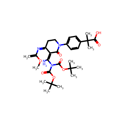 C=C(/N=C1/CCN(c2ccc(C(C)(C)C(=O)O)cc2)C(=O)/C1=C(/N)N(C(=O)OC(C)(C)C)C(=O)OC(C)(C)C)OC